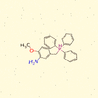 COc1ccc(C[PH](c2ccccc2)(c2ccccc2)c2ccccc2)cc1N